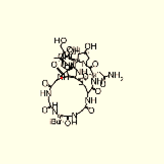 CC[C@H](C)[C@@H]1NC(=O)CNC(=O)C2Cc3c([nH]c4cc(O)ccc34)[S@+]([O-])CC(NC(=O)CNC1=O)C(=O)N[C@@H](CC(N)=O)C(=O)N1C[C@H](O)C[C@]1(C=O)N[C@@H]([C@@H](C)[C@@H](O)CO)C(=O)N2